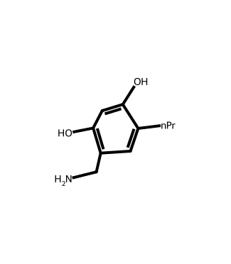 [CH2]CCc1cc(CN)c(O)cc1O